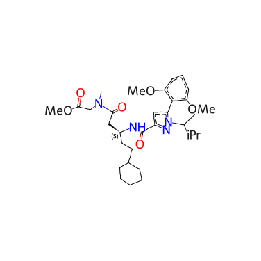 COC(=O)CN(C)C(=O)C[C@H](CCC1CCCCC1)NC(=O)c1cc(-c2c(OC)cccc2OC)n(C(C)C(C)C)n1